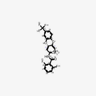 C=C(/C=C\C(=C/N)Oc1ccc(C(F)(F)F)cc1Cl)NC(=O)c1c(F)cccc1F